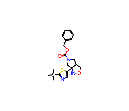 C[Si](C)(C)c1ncc(C23CN(C(=O)OCc4ccccc4)CC2CON3)s1